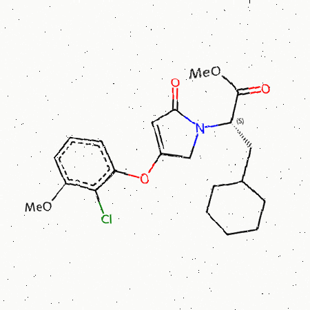 COC(=O)[C@H](CC1CCCCC1)N1CC(Oc2cccc(OC)c2Cl)=CC1=O